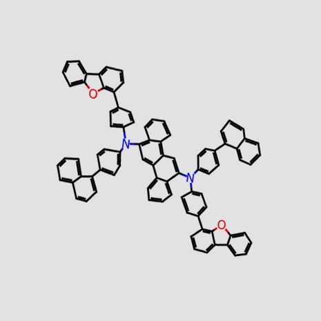 c1ccc2c(-c3ccc(N(c4ccc(-c5cccc6c5oc5ccccc56)cc4)c4cc5c6ccccc6c(N(c6ccc(-c7cccc8ccccc78)cc6)c6ccc(-c7cccc8c7oc7ccccc78)cc6)cc5c5ccccc45)cc3)cccc2c1